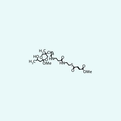 COC(=O)/C=C/C(=O)SCCNC(=O)CCNC(=O)[C@@H]1OC(CC(C)O)(OC)OCC1(C)C